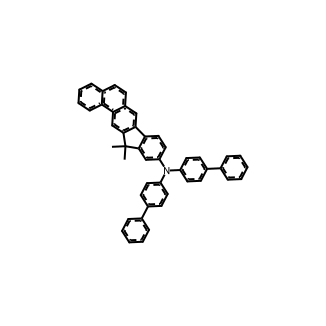 CC1(C)c2cc(N(c3ccc(-c4ccccc4)cc3)c3ccc(-c4ccccc4)cc3)ccc2-c2cc3ccc4ccccc4c3cc21